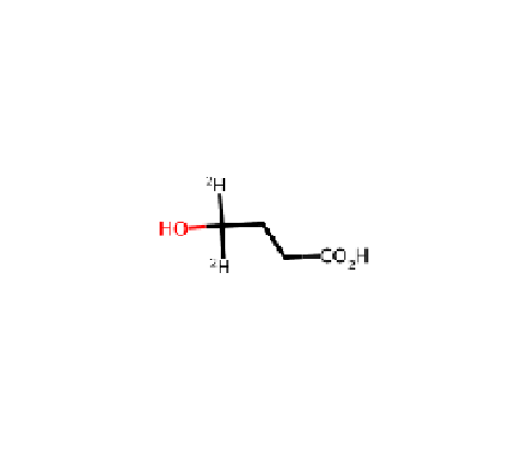 [2H]C([2H])(O)CCC(=O)O